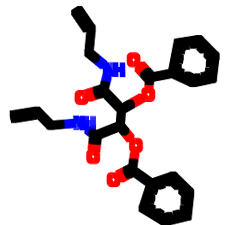 C=CCNC(=O)C(OC(=O)c1ccccc1)C(OC(=O)c1ccccc1)C(=O)NCC=C